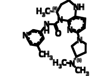 Cc1cncc(NC(=O)N2c3nc(N4CC[C@H](N(C)C)C4)ccc3NCC[C@H]2C)c1